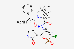 CC(=O)N[C@H](C(=O)N1C[C@@H]2CCC[C@@H]2[C@H]1C(=O)N[C@@H](/C=C(/F)S(C)(=O)=O)C[C@@H]1CCNC1=O)c1ccccc1